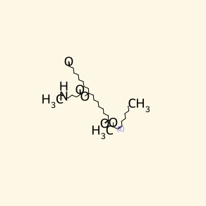 CCCCCC/C=C\C(C)OC(=O)CCCCCCCC(CCCCCCCC=O)OC(=O)CCCNC